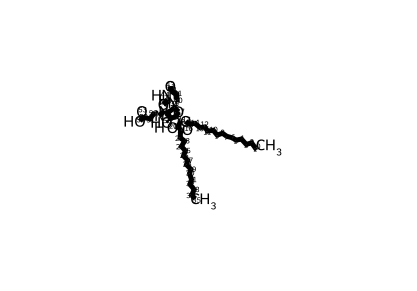 CCCCCCCCCCCCCCCC(=O)OC(C(=O)CCCCCCCCCCCCCCC)[C@H]1O[C@@H](n2ccc(=O)[nH]c2=O)[C@H](NNCCC(=O)O)[C@@H]1O